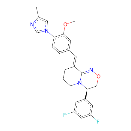 COc1cc(/C=C2\CCCN3C2=NOC[C@H]3c2cc(F)cc(F)c2)ccc1-n1cnc(C)c1